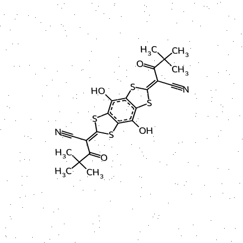 CC(C)(C)C(=O)C(C#N)=C1Sc2c(O)c3c(c(O)c2S1)SC(=C(C#N)C(=O)C(C)(C)C)S3